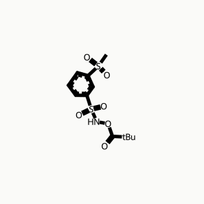 CC(C)(C)C(=O)ONS(=O)(=O)c1cccc(S(C)(=O)=O)c1